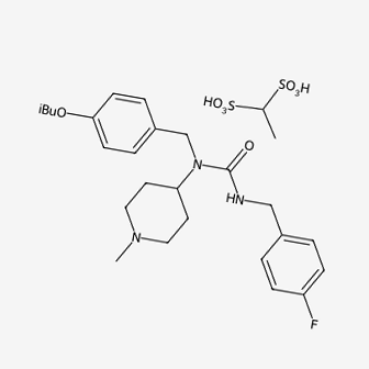 CC(C)COc1ccc(CN(C(=O)NCc2ccc(F)cc2)C2CCN(C)CC2)cc1.CC(S(=O)(=O)O)S(=O)(=O)O